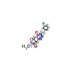 CCN1COc2cc3c(=O)n(CCc4cccc(F)c4)nnc3cc2C1=O